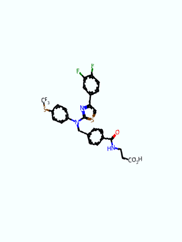 O=C(O)CCNC(=O)c1ccc(CN(c2ccc(SC(F)(F)F)cc2)c2nc(-c3ccc(F)c(F)c3)cs2)cc1